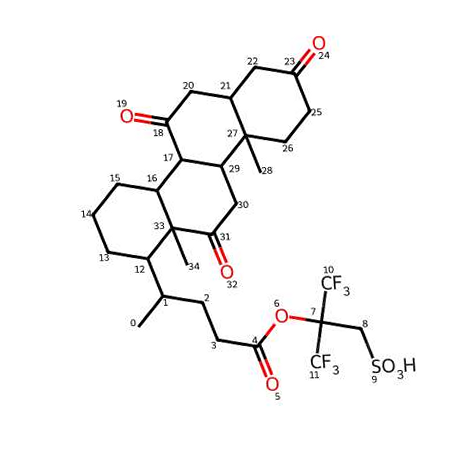 CC(CCC(=O)OC(CS(=O)(=O)O)(C(F)(F)F)C(F)(F)F)C1CCCC2C3C(=O)CC4CC(=O)CCC4(C)C3CC(=O)C12C